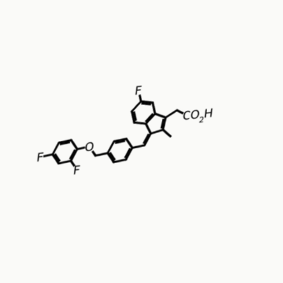 CC1=C(CC(=O)O)c2cc(F)ccc2/C1=C\c1ccc(COc2ccc(F)cc2F)cc1